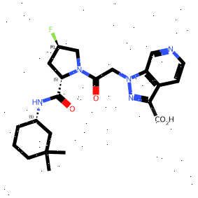 CC1(C)CCC[C@H](NC(=O)[C@@H]2C[C@@H](F)CN2C(=O)Cn2nc(C(=O)O)c3ccncc32)C1